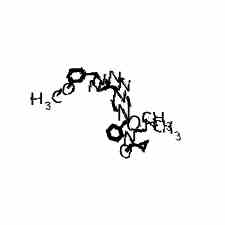 CCOc1cccc(Cn2ncc3c(N4CCN(C(=O)c5ccccc5N(CCN(C)C)C(=O)C5CC5)CC4)ncnc32)c1